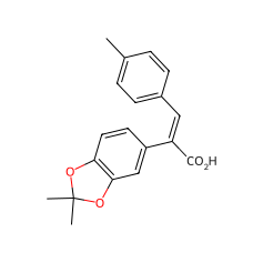 Cc1ccc(/C=C(/C(=O)O)c2ccc3c(c2)OC(C)(C)O3)cc1